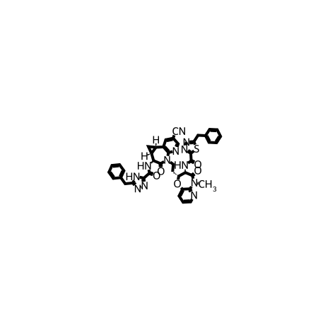 CN1C(=O)[C@@H](NC(=O)c2nnc(Cc3ccccc3)s2)[C@@H](CCN2C(=O)[C@@H](NC(=O)c3nnc(Cc4ccccc4)[nH]3)[C@H]3C[C@H]3c3cc(C#N)cnc32)Oc2cccnc21